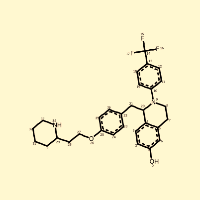 Oc1ccc2c(c1)CCN(c1ccc(C(F)(F)F)cc1)C2Cc1ccc(OCCC2CCCCN2)cc1